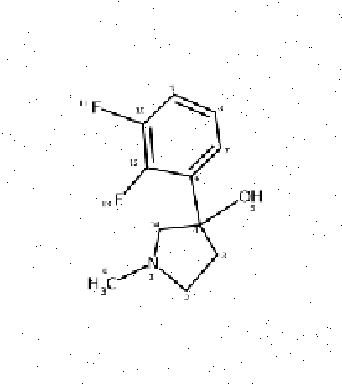 CN1CCC(O)(c2cccc(F)c2F)C1